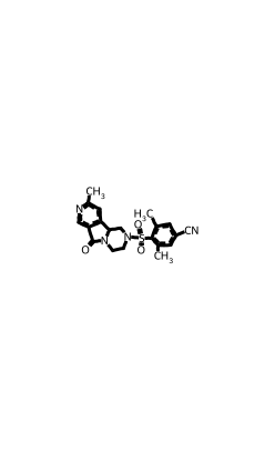 Cc1cc2c(cn1)C(=O)N1CCN(S(=O)(=O)c3c(C)cc(C#N)cc3C)CC21